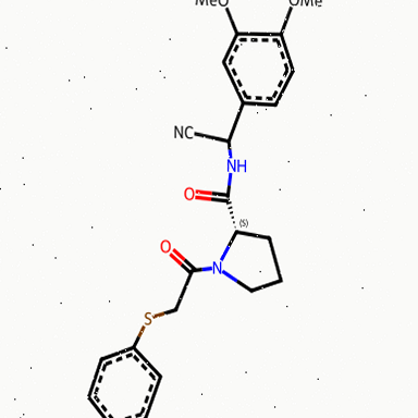 COc1ccc(C(C#N)NC(=O)[C@@H]2CCCN2C(=O)CSc2ccccc2)cc1OC